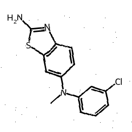 CN(c1cccc(Cl)c1)c1ccc2nc(N)sc2c1